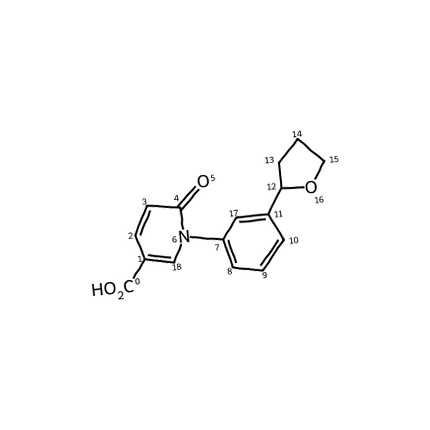 O=C(O)c1ccc(=O)n(-c2cccc(C3CCCO3)c2)c1